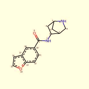 O=C(NC1CC2CC1CN2)c1ccc2occc2c1